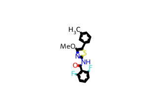 COc1nc(NC(=O)c2c(F)cccc2F)sc1-c1cccc(C)c1